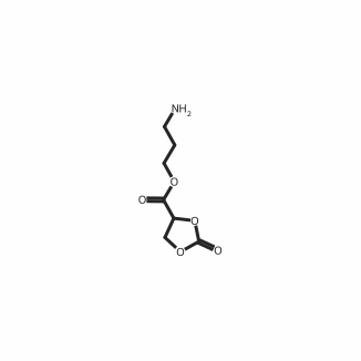 NCCCOC(=O)C1COC(=O)O1